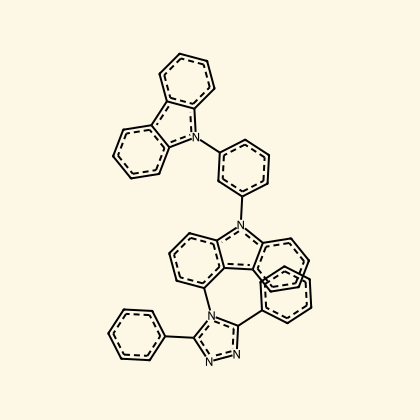 c1ccc(-c2nnc(-c3ccccc3)n2-c2cccc3c2c2ccccc2n3-c2cccc(-n3c4ccccc4c4ccccc43)c2)cc1